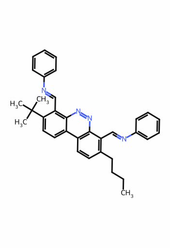 CCCCc1ccc2c(nnc3c(/C=N/c4ccccc4)c(C(C)(C)C)ccc32)c1/C=N/c1ccccc1